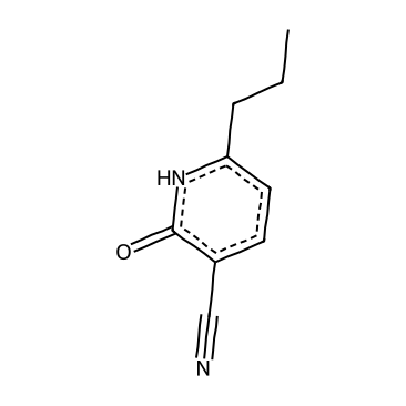 CCCc1ccc(C#N)c(=O)[nH]1